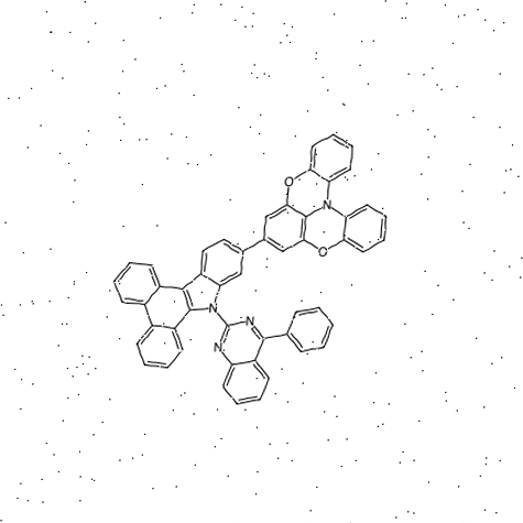 c1ccc(-c2nc(-n3c4cc(-c5cc6c7c(c5)Oc5ccccc5N7c5ccccc5O6)ccc4c4c5ccccc5c5ccccc5c43)nc3ccccc23)cc1